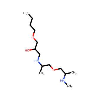 CCCCOCC(O)CNC(C)COCC(C)NC